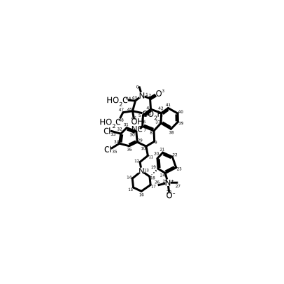 CN(C(=O)c1cc(C#N)c(CC(CCN2CCCC[C@H]2c2ccccc2[N+](C)(C)[O-])c2ccc(Cl)c(Cl)c2)c2ccccc12)C(C(=O)O)C(O)(CC(=O)O)C(=O)O